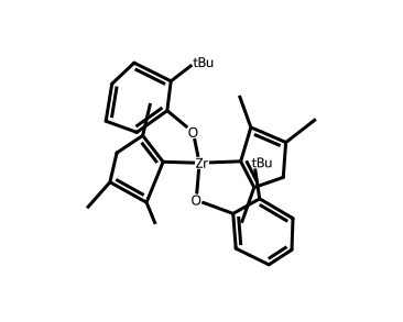 CC1=C(C)[C]([Zr]([O]c2ccccc2C(C)(C)C)([O]c2ccccc2C(C)(C)C)[C]2=C(C)CC(C)=C2C)=C(C)C1